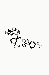 CCOc1ccc(C(=O)NCCN(C(=O)c2c[nH]nc2C(F)(F)F)c2cccc(C#N)c2)cc1